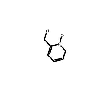 [O]N1CC=CC=C1CCl